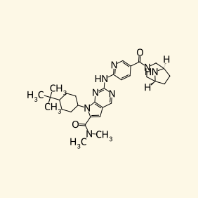 CN(C)C(=O)c1cc2cnc(Nc3ccc(C(=O)N4C[C@H]5CC[C@H](C4)N5)cn3)nc2n1C1CCC(C(C)(C)C)CC1